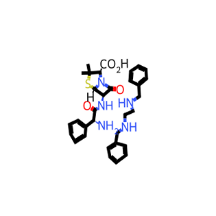 CC1(C)S[C@@H]2[C@H](NC(=O)[C@H](N)c3ccccc3)C(=O)N2[C@H]1C(=O)O.c1ccc(CNCCNCc2ccccc2)cc1